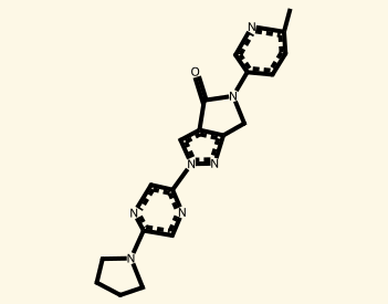 Cc1ccc(N2Cc3nn(-c4cnc(N5CCCC5)cn4)cc3C2=O)cn1